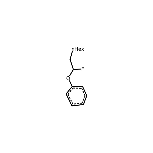 CCCCCCCC(F)Oc1ccccc1